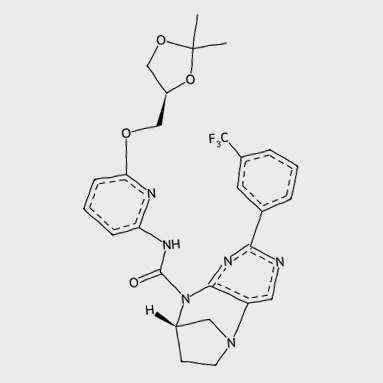 CC1(C)OC[C@H](COc2cccc(NC(=O)N3c4nc(-c5cccc(C(F)(F)F)c5)ncc4N4CC[C@H]3C4)n2)O1